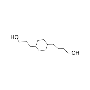 OCCCCC1CCC(CCCO)CC1